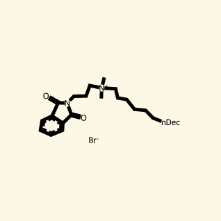 CCCCCCCCCCCCCCCC[N+](C)(C)CCCN1C(=O)c2ccccc2C1=O.[Br-]